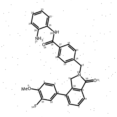 COc1ccc(-c2cccc3c2CN(Cc2ccc(C(=O)Nc4ccccc4N)cc2)C3=O)cc1F